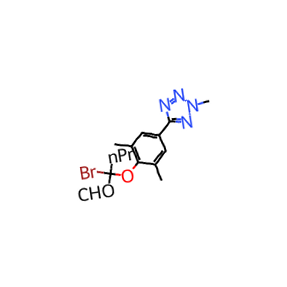 CCCC(Br)(C=O)Oc1c(C)cc(-c2nnn(C)n2)cc1C